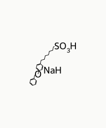 O=S(=O)(O)CCCCCCCc1ccc(OCc2ccccc2)cc1.[NaH]